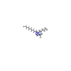 CCCCCCCCCCn1cc[n+](C(C)C)c1CCCCCC